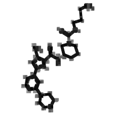 CCCCOC(=O)N1CCC[C@H](NC(=O)c2sc(-c3cccc(N4CCOCC4)c3)cc2N)C1